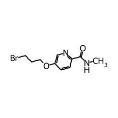 CNC(=O)c1ccc(OCCCBr)cn1